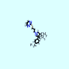 C[C@H]1CN(CCCSc2ncccn2)C[C@]1(C)C1C=CC(C(F)(F)F)=CC1